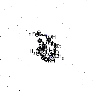 CCCOC(=O)CCC/C=C\C[C@@H]1[C@@H](CC[C@H](CCc2ccccc2)OC(C)(CC)C(=O)C(C)OC(C)(CCC)C(=O)CCC(=O)Oc2ccc3c(c2)/C(=C/c2[nH]c(C)c(C(=O)NCCN(CC)CC)c2C)C(=O)N3)[C@H](O)C[C@@H]1O